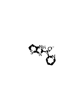 [O-][S+](c1ccccn1)c1nc2sccc2[nH]1